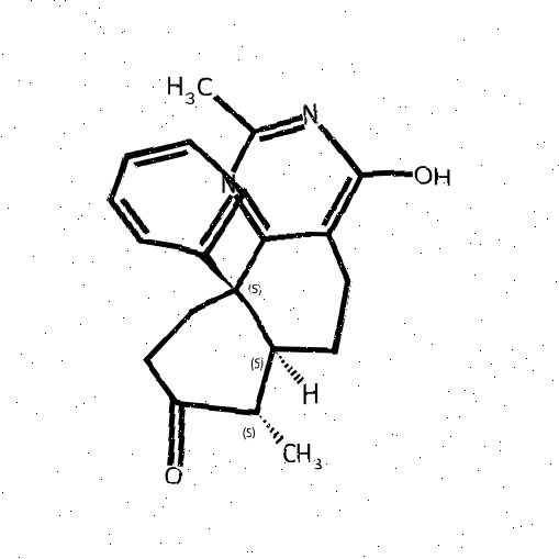 Cc1nc(O)c2c(n1)[C@@]1(c3ccccc3)CCC(=O)[C@@H](C)[C@@H]1CC2